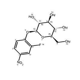 O=[N+]([O-])c1ccc(O[C@@H]2O[C@H](CO)[C@@H](O)[C@H](O)[C@H]2O)c(F)c1